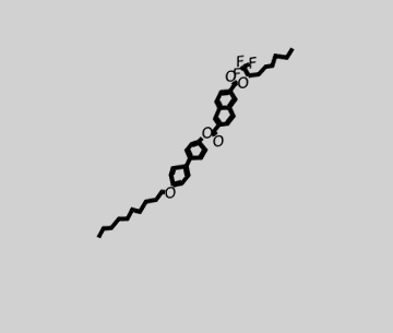 CCCCCCCCCCOc1ccc(-c2ccc(OC(=O)c3ccc4cc(C(=O)OC(CCCCCC)C(F)(F)F)ccc4c3)cc2)cc1